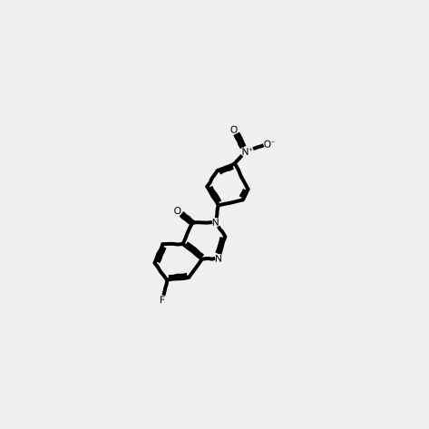 O=c1c2ccc(F)cc2ncn1-c1ccc([N+](=O)[O-])cc1